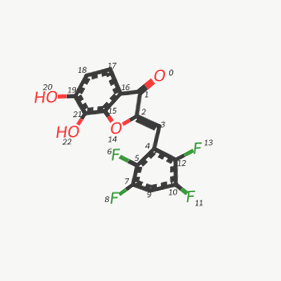 O=C1C(=Cc2c(F)c(F)cc(F)c2F)Oc2c1ccc(O)c2O